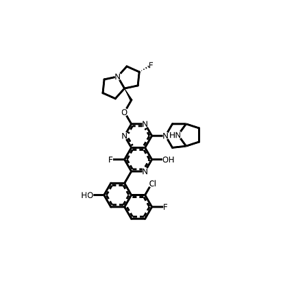 Oc1cc(-c2nc(O)c3c(N4CC5CCC(C4)N5)nc(OC[C@@]45CCCN4C[C@H](F)C5)nc3c2F)c2c(Cl)c(F)ccc2c1